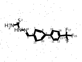 NC(=S)N/N=C/c1ccc(-c2ccc(C(F)(F)F)cc2)cc1